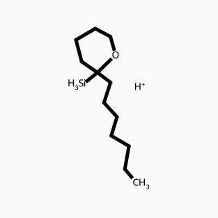 CCCCCCCC1([SiH3])CCCCO1.[H+]